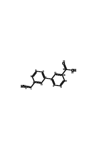 N=Cc1cccc(-c2cccc(C(=O)O)c2)c1